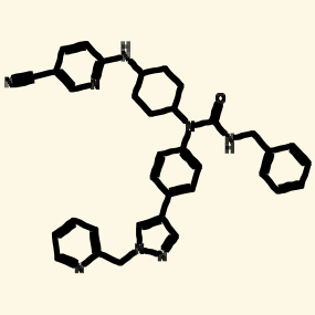 N#Cc1ccc(NC2CCC(N(C(=O)NCc3ccccc3)c3ccc(-c4cnn(Cc5ccccn5)c4)cc3)CC2)nc1